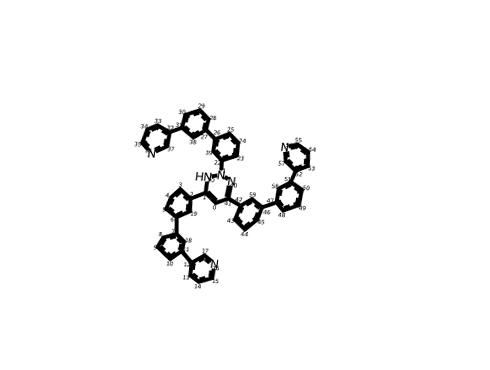 C1=C(c2cccc(-c3cccc(-c4cccnc4)c3)c2)NN(c2cccc(-c3cccc(-c4cccnc4)c3)c2)N=C1c1cccc(-c2cccc(-c3cccnc3)c2)c1